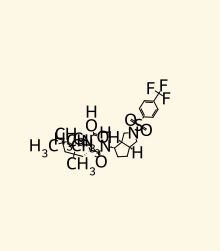 CN(C(=O)O)[C@@H](CC(C)(C)CC(C)(C)C)C(=O)N[C@@H]1CC[C@H]2CN(S(=O)(=O)c3ccc(C(F)(F)F)cc3)C[C@H]21